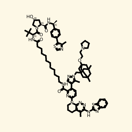 Cc1ncsc1-c1ccc([C@H](C)NC(=O)[C@@H]2C[C@@H](O)CN2C(=O)[C@@H](NC(=O)CCCCCCCCCCCNC(=O)c2nc(N3CCCc4c3nnc(Nc3nc5ccccc5s3)c4C)ccc2-c2cnn(CC34CC5(C)CC(C)(C3)CC(OCCN3CCCC3)(C5)C4)c2C)C(C)(C)C)cc1